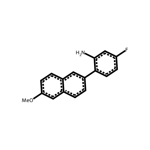 COc1ccc2cc(-c3ccc(F)cc3N)ccc2c1